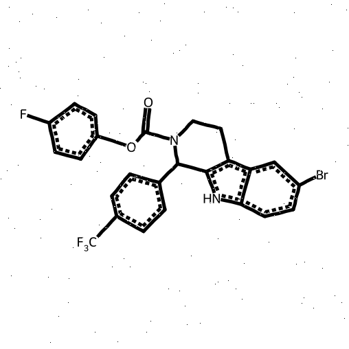 O=C(Oc1ccc(F)cc1)N1CCc2c([nH]c3ccc(Br)cc23)C1c1ccc(C(F)(F)F)cc1